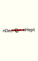 CCCCCCC/C=C/CCCCCCCCC(=O)OCCCCCCCCCCCCCCCC